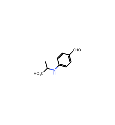 CC(Nc1ccc(C=O)cc1)C(=O)O